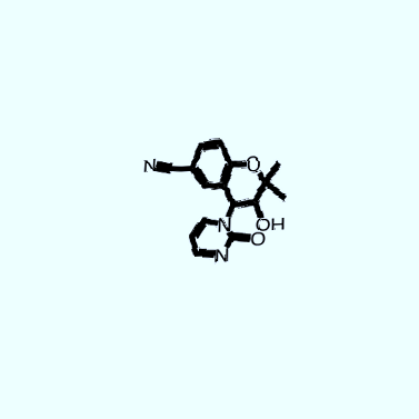 CC1(C)Oc2ccc(C#N)cc2C(n2cccnc2=O)C1O